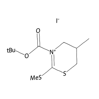 CSC1=[N+](C(=O)OC(C)(C)C)CC(C)CS1.[I-]